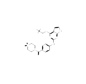 O=C(c1ccc(Nc2nc(NCC(F)(F)F)c3cc[nH]c3n2)cc1)N1CCS(=O)(=O)CC1